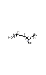 CCC(C)C(=O)CC/C(=N\O)C(C)(C)NCCCNC(C)(C)/C(C)=N/O